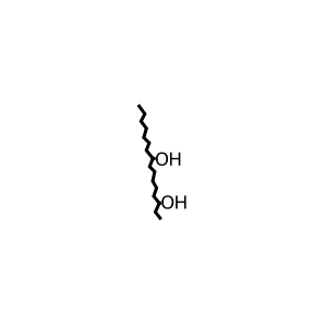 CCCCCCCC(O)CCCCCC(O)CC